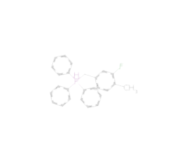 Cc1ccc(C[PH](c2ccccc2)(c2ccccc2)c2ccccc2)cc1F